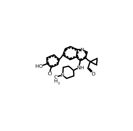 CN1CCC(Nc2c(C3(C=O)CC3)cnc3ccc(-c4ccc(O)c(Cl)c4)cc23)CC1